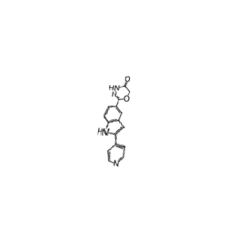 O=C1COC(c2ccc3[nH]c(-c4ccncc4)cc3c2)=NN1